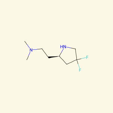 CN(C)CC[C@@H]1CC(F)(F)CN1